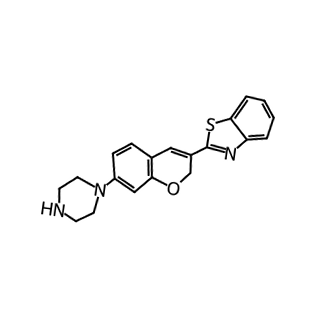 C1=C(c2nc3ccccc3s2)COc2cc(N3CCNCC3)ccc21